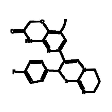 O=C1COc2c(F)cc(C3=CN4CCCN=C4SC3c3ccc(F)cc3)nc2N1